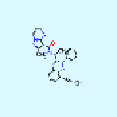 CC#Cc1cccc2cc([C@H](C)NC(=O)c3c(C)nn4cccnc34)c(-c3ccccc3)nc12